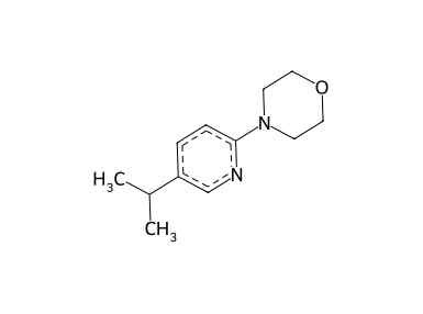 CC(C)c1ccc(N2CCOCC2)nc1